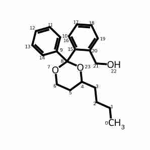 CCCCC1CCOC(c2ccccc2)(c2ccccc2CO)O1